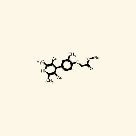 CCC(C)OC(=O)COc1ccc(C2C(C(C)=O)=C(C)NC(C)=C2C(C)=O)cc1C